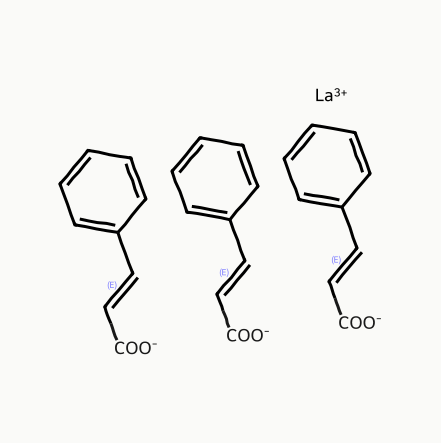 O=C([O-])/C=C/c1ccccc1.O=C([O-])/C=C/c1ccccc1.O=C([O-])/C=C/c1ccccc1.[La+3]